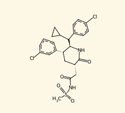 CS(=O)(=O)NC(=O)C[C@@H]1C[C@H](c2cccc(Cl)c2)[C@@H](C(c2ccc(Cl)cc2)C2CC2)NC1=O